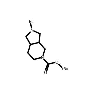 CCN1CC2CCN(C(=O)OC(C)(C)C)CC2C1